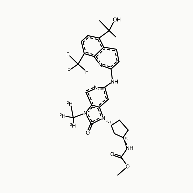 [2H]C([2H])([2H])n1c(=O)n([C@@H]2CC[C@@H](NC(=O)OC)C2)c2cc(Nc3ccc4c(C(C)(C)O)ccc(C(F)(F)F)c4n3)ncc21